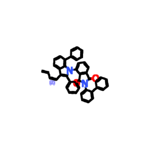 C=C/C=C\c1c(-c2ccccc2)n(-c2cccc3c2C(=O)N(c2ccccc2-c2ccccc2)C3=O)c2c(-c3ccccc3)cccc12